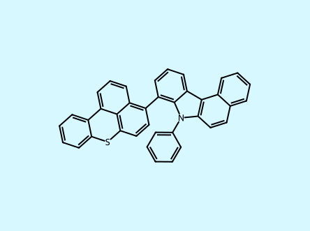 c1ccc(-n2c3ccc4ccccc4c3c3cccc(-c4ccc5c6c(cccc46)-c4ccccc4S5)c32)cc1